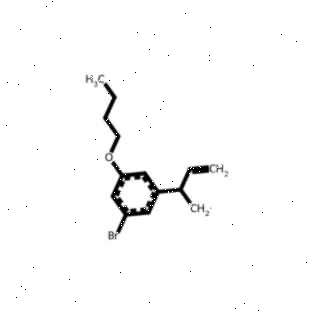 [CH2]C(C=C)c1cc(Br)cc(OCCCC)c1